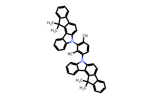 CC1(C)c2ccccc2-c2ccc3c(c21)c1ccccc1n3-c1ccc(C#N)c(-n2c3ccccc3c3c4c(ccc32)-c2ccccc2C4(C)C)c1C#N